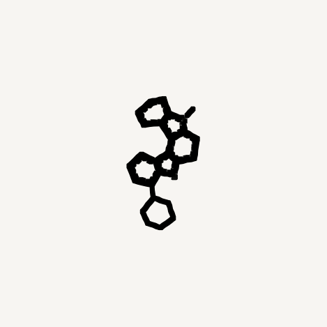 Cn1c2ccccc2c2c3c(ccc21)sc1c(C2CCCCC2)cccc13